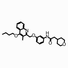 CCCCOc1c(C)c(COc2cccc(NC(=O)CC3CCOCC3)c2)nc2ccccc12